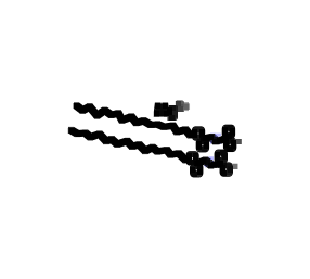 CCCCCCCCCCCCCCCCCCOC(=O)/C=C/C(=O)[O-].CCCCCCCCCCCCCCCCCCOC(=O)/C=C/C(=O)[O-].[Mg+2]